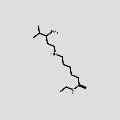 C=C(CCCCCNCCC(N)C(C)C)NCC